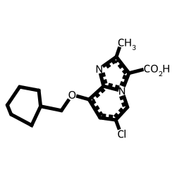 Cc1nc2c(OCC3CCCCC3)cc(Cl)cn2c1C(=O)O